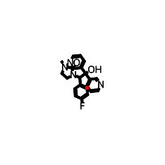 CN1CCN(C(c2ccc(F)cc2)C(O)(c2cccnc2)c2cccnc2)C1=O